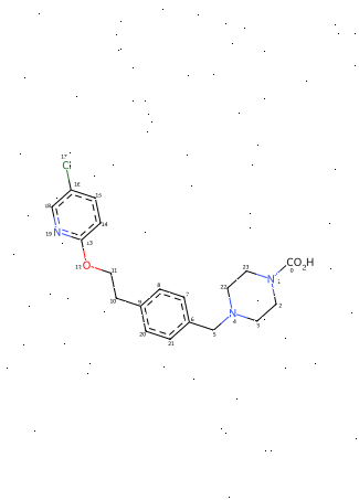 O=C(O)N1CCN(Cc2ccc(CCOc3ccc(Cl)cn3)cc2)CC1